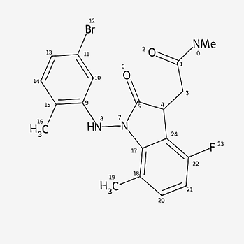 CNC(=O)CC1C(=O)N(Nc2cc(Br)ccc2C)c2c(C)ccc(F)c21